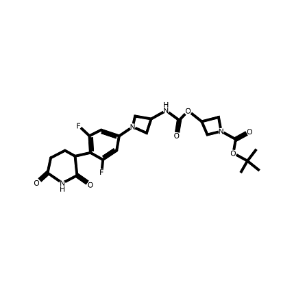 CC(C)(C)OC(=O)N1CC(OC(=O)NC2CN(c3cc(F)c(C4CCC(=O)NC4=O)c(F)c3)C2)C1